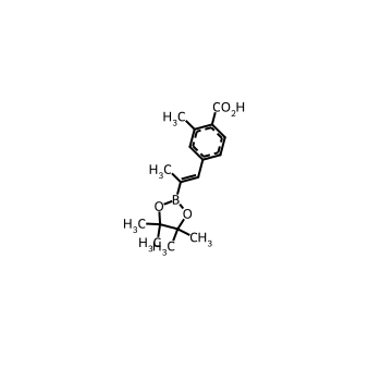 CC(=Cc1ccc(C(=O)O)c(C)c1)B1OC(C)(C)C(C)(C)O1